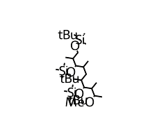 COC(C)C(C)C(O[Si](C)(C)C(C)(C)C)C(C)CC(C)C(O[Si](C)(C)C(C)(C)C)C(C)CO[Si](C)(C)C(C)(C)C